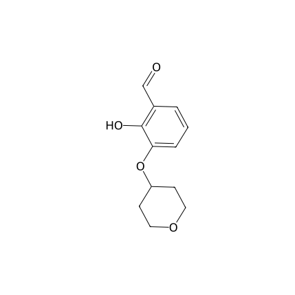 O=Cc1cccc(OC2CCOCC2)c1O